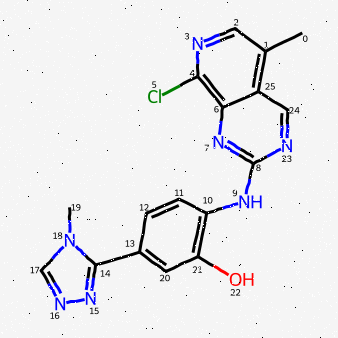 Cc1cnc(Cl)c2nc(Nc3ccc(-c4nncn4C)cc3O)ncc12